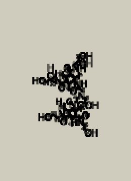 CN(C(=O)CN(CCO)CC(=O)Nc1c(I)c(C(=O)NCC(O)CO)c(I)c(C(=O)NCC(O)CO)c1I)c1c(I)c(C(=O)NCCO)c(I)c(C(=O)NCCO)c1I